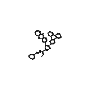 C/C=C(\S/C=C/c1ccccc1)c1ccc(-c2ccc3c4ccccc4c4ccccc4c3c2)c(-c2ccc3c(c2)Oc2ccccc2S3)c1